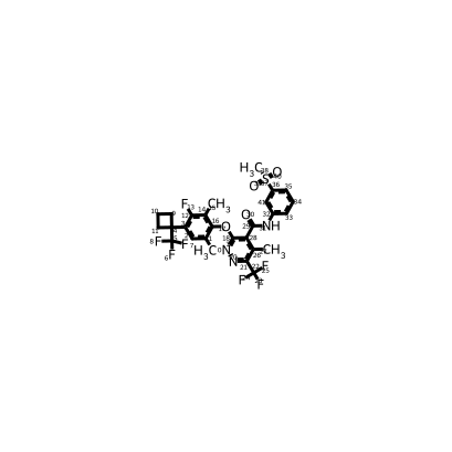 Cc1cc(C2(C(F)(F)F)CCC2)c(F)c(C)c1Oc1nnc(C(F)(F)F)c(C)c1C(=O)Nc1cccc(S(C)(=O)=O)c1